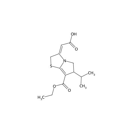 CCOC(=O)C1=C2SCC(=CC(=O)O)N2CC1C(C)C